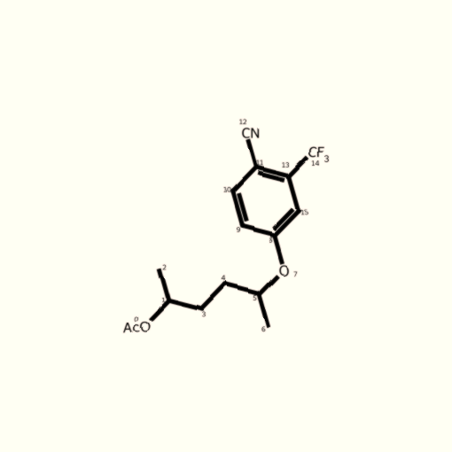 CC(=O)OC(C)CCC(C)Oc1ccc(C#N)c(C(F)(F)F)c1